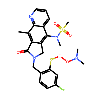 Cc1c2c(c(N(C)S(C)(=O)=O)c3cccnc13)CN(Cc1ccc(F)cc1SOON(C)C)C2=O